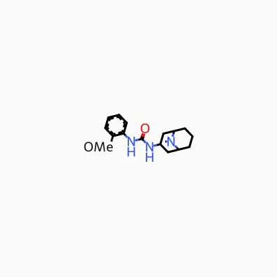 COc1ccccc1NC(=O)NC1CC2CCCC(C1)N2C